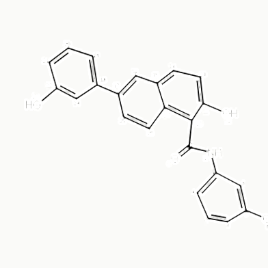 O=C(Nc1cccc(O)c1)c1c(O)ccc2cc(-c3cccc(O)c3)ccc12